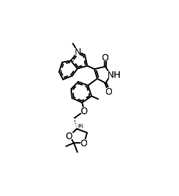 Cc1c(OC[C@@H]2COC(C)(C)O2)cccc1C1=C(c2cn(C)c3ccccc23)C(=O)NC1=O